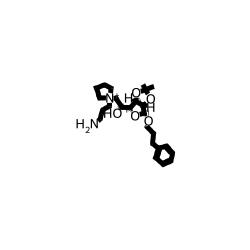 CC1(C)O[C@@H]2[C@H](O1)[C@@H](OCCCc1ccccc1)O[C@@H]2[C@H](O)C[N+]1(CCCN)CCCC1